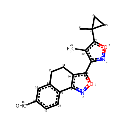 CC1(c2onc(-c3onc4c3CCc3cc(C=O)ccc3-4)c2C(F)(F)F)CC1